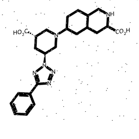 O=C(O)C1CC2CC(N3C[C@@H](C(=O)O)C[C@H](n4nnc(-c5ccccc5)n4)C3)CCC2CN1